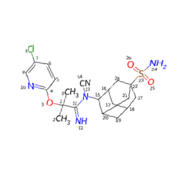 CC(C)(Oc1ccc(Cl)cn1)C(=N)N(C#N)C1C2CC3CC1CC(S(N)(=O)=O)(C3)C2